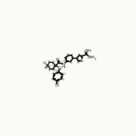 N=C(N)c1cc(-c2cccc(NC(=O)C3(Oc4ccc(Cl)cc4)CCC(F)(F)CC3)c2)cs1